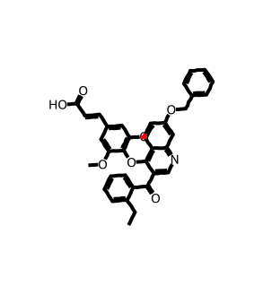 CCc1ccccc1C(=O)c1cnc2cc(OCc3ccccc3)ccc2c1Oc1c(OC)cc(/C=C/C(=O)O)cc1OC